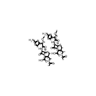 CO/N=C(/C(=O)N[C@@H]1C(=O)N2C(C(=O)O)=C(COC(C)=O)CS[C@H]12)c1csc(N)n1.CO/N=C(/C(=O)N[C@@H]1C(=O)N2C(C(=O)O)=C(COC(C)=O)CS[C@H]12)c1csc(N)n1